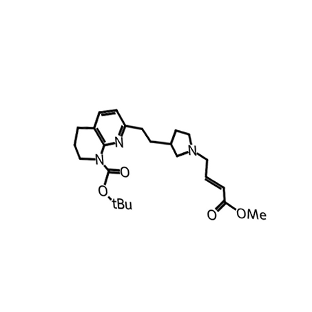 COC(=O)/C=C/CN1CCC(CCc2ccc3c(n2)N(C(=O)OC(C)(C)C)CCC3)C1